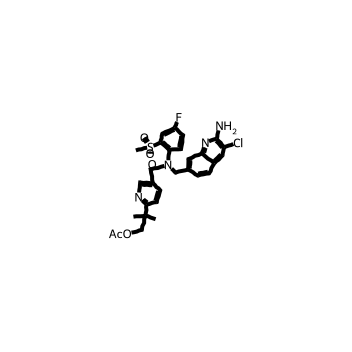 CC(=O)OCC(C)(C)c1ccc(C(=O)N(Cc2ccc3cc(Cl)c(N)nc3c2)c2ccc(F)cc2S(C)(=O)=O)cn1